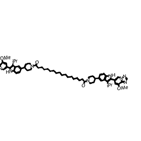 COc1cc(-c2[nH]c3ccc(C4CCN(C(=O)CCCCCCCCCCCCCCCCC(=O)N5CCC(c6ccc7[nH]c(-c8cc(OC)c9ncnn9c8)c(C(C)C)c7c6)CC5)CC4)cc3c2C(C)C)cn2ncnc12